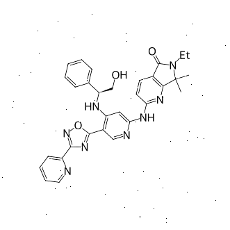 CCN1C(=O)c2ccc(Nc3cc(N[C@H](CO)c4ccccc4)c(-c4nc(-c5ccccn5)no4)cn3)nc2C1(C)C